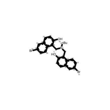 CCCCN(Cc1c(O)ccc2cc(Br)ccc12)Cc1c(O)ccc2cc(Br)ccc12